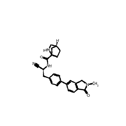 CN1Cc2cc(-c3ccc(C[C@@H](C#N)NC(=O)C45CC[C@@H](CN4)C5)cc3)ccc2C1=O